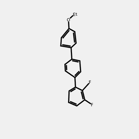 CCOc1ccc(-c2ccc(-c3cccc(F)c3F)cc2)cc1